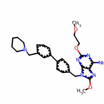 COCCOc1nc(N)c2nc(OC)n(Cc3ccc(-c4cccc(CN5CCCCC5)c4)cc3)c2n1